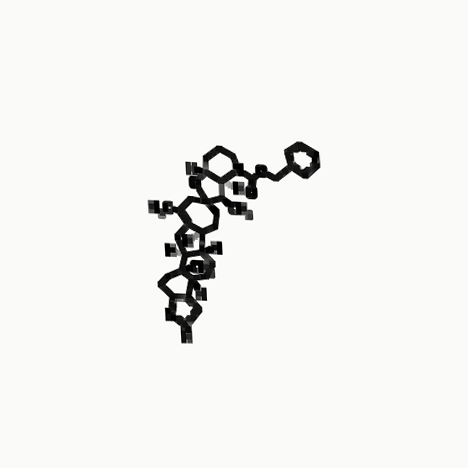 CC1=C2C[C@H]3[C@@H](CC[C@@H]4c5c[nH]nc5CC[C@@]43C)[C@@H]2CC[C@@]2(C1)O[C@@H]1CCCN(C(=O)OCc3ccccc3)[C@H]1[C@H]2C